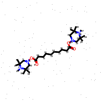 CN1C(C)(C)CN(OC(=O)CCCCCCCCC(=O)ON2CC(C)(C)N(C)C(C)(C)C2)CC1(C)C